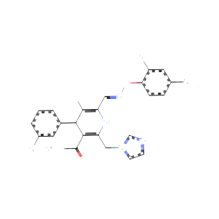 CCOC(=O)C1=C(C=NOc2ccc([N+](=O)[O-])cc2[N+](=O)[O-])NC(Cn2ccnc2)=C(C(=O)OC)C1c1cccc([N+](=O)[O-])c1